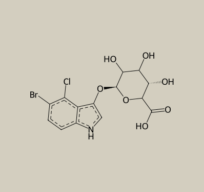 O=C(O)C1O[C@@H](Oc2c[nH]c3ccc(Br)c(Cl)c23)C(O)C(O)[C@@H]1O